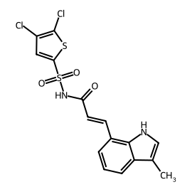 Cc1c[nH]c2c(/C=C/C(=O)NS(=O)(=O)c3cc(Cl)c(Cl)s3)cccc12